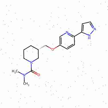 CN(C)C(=O)N1CCC[C@H](COc2ccc(-c3ccn[nH]3)nc2)C1